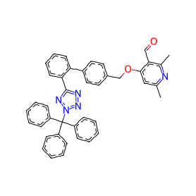 Cc1cc(OCc2ccc(-c3ccccc3-c3nnn(C(c4ccccc4)(c4ccccc4)c4ccccc4)n3)cc2)c(C=O)c(C)n1